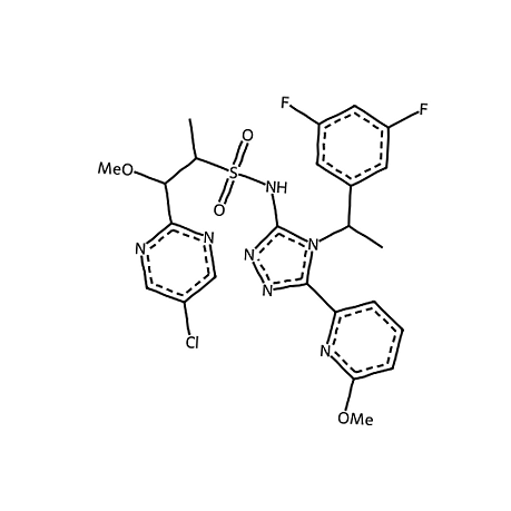 COc1cccc(-c2nnc(NS(=O)(=O)C(C)C(OC)c3ncc(Cl)cn3)n2C(C)c2cc(F)cc(F)c2)n1